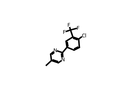 Cc1cnc(-c2ccc(Cl)c(C(F)(F)F)c2)nc1